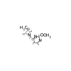 COc1nccc(CN2CC(C)C2)n1